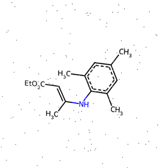 CCOC(=O)C=C(C)Nc1c(C)cc(C)cc1C